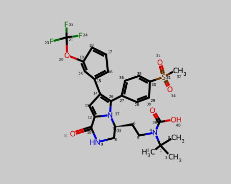 CC(C)(C)N(CC[C@H]1CNC(=O)c2cc(-c3cccc(OC(F)(F)F)c3)c(-c3ccc(S(C)(=O)=O)cc3)n21)C(=O)O